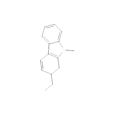 CCC1C=Cc2c(n(C)c3ccccc23)C1